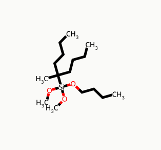 CCCCO[Si](OC)(OC)C(C)(CCCC)CCCC